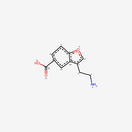 NCCc1coc2ccc(C(=O)O)cc12